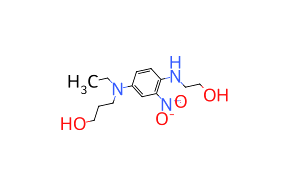 CCN(CCCO)c1ccc(NCCO)c([N+](=O)[O-])c1